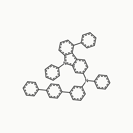 c1ccc(-c2ccc(-c3cccc(N(c4ccccc4)c4ccc5c6c(-c7ccccc7)cccc6n(-c6ccccc6)c5c4)c3)cc2)cc1